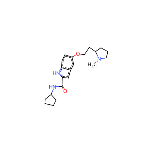 CN1CCCC1CCOc1ccc2[nH]c(C(=O)NC3CCCC3)cc2c1